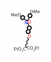 CCOC(=O)C(CCCCCOc1ccc2cc(-c3nc(-c4ccc(OC)cc4)c(-c4ccc(OC)cc4)o3)ccc2c1)C(=O)OCC